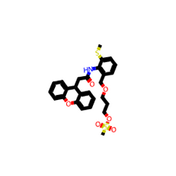 CSc1cccc(COCCCOS(C)(=O)=O)c1NC(=O)CC1c2ccccc2Oc2ccccc21